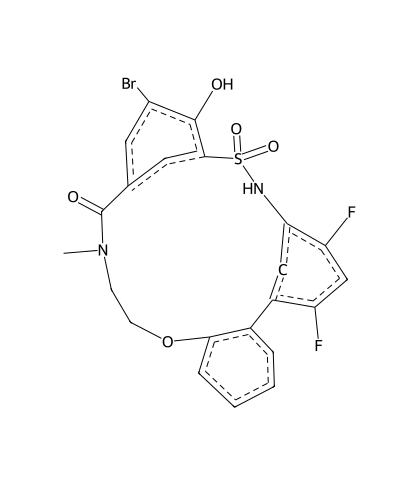 CN1CCOc2ccccc2-c2cc(c(F)cc2F)NS(=O)(=O)c2cc(cc(Br)c2O)C1=O